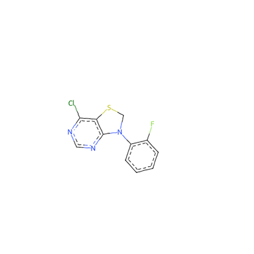 Fc1ccccc1N1CSc2c(Cl)ncnc21